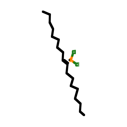 CCCCCCCCC=CCCCCCCCC.Cl[P]Cl